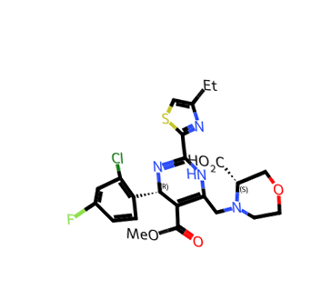 CCc1csc(C2=N[C@@H](c3ccc(F)cc3Cl)C(C(=O)OC)=C(CN3CCOC[C@H]3C(=O)O)N2)n1